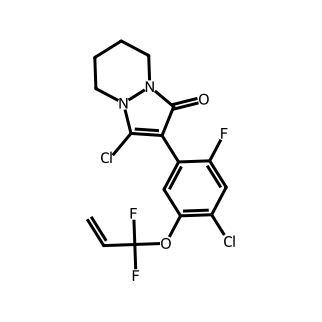 C=CC(F)(F)Oc1cc(-c2c(Cl)n3n(c2=O)CCCC3)c(F)cc1Cl